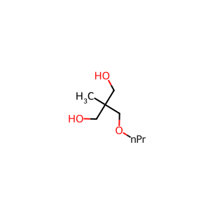 CCCOCC(C)(CO)CO